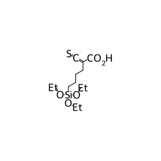 CCO[Si](CCCCC(=C=S)C(=O)O)(OCC)OCC